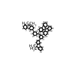 CC1(C)c2ccccc2-c2cc(-c3cccc(N(c4cccc(-c5ccc6c(c5)-c5ccccc5C6(C)C)c4)c4ccc5c(c4)C4(c6ccccc6-c6ccccc64)c4ccccc4-5)c3)ccc21